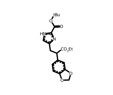 CCOC(=O)C(Cc1c[nH]c(C(=O)OC(C)(C)C)n1)c1ccc2c(c1)OCO2